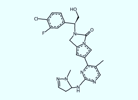 Cc1cnc(NC2CC=NN2C)nc1-c1cc2n(c1)C(=O)N([C@H](CO)c1ccc(Cl)c(F)c1)C2